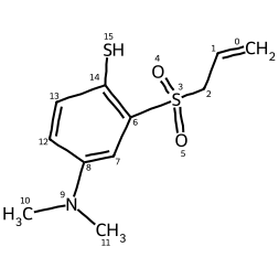 C=CCS(=O)(=O)c1cc(N(C)C)ccc1S